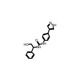 O=C(Nc1ccc(-c2cn[nH]c2)cc1)NC(CO)c1ccccc1